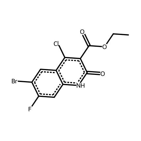 CCOC(=O)c1c(Cl)c2cc(Br)c(F)cc2[nH]c1=O